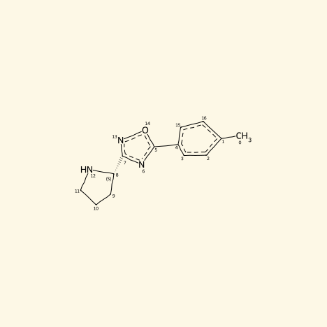 Cc1ccc(-c2nc([C@@H]3CCCN3)no2)cc1